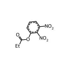 CCC(=O)Oc1cccc([N+](=O)[O-])c1[N+](=O)[O-]